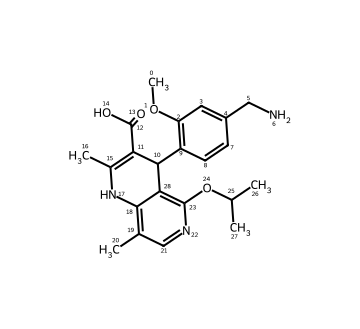 COc1cc(CN)ccc1C1C(C(=O)O)=C(C)Nc2c(C)cnc(OC(C)C)c21